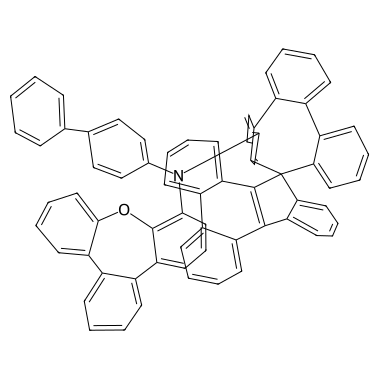 c1ccc(-c2ccc(N(c3ccc4c(c3)C3(c5ccccc5-c5ccccc5-4)c4ccccc4-c4c3c3ccccc3c3ccccc43)c3cccc4c3Oc3ccccc3-c3ccccc3-4)cc2)cc1